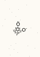 COc1nc(-c2ccncc2)nc(Sc2ccc(C)cc2)c1C(F)(F)F